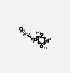 O=C(NCCCCCCNc1c(F)c(F)c(-c2c3nc(c(-c4cccc(O)c4)c4ccc([nH]4)c(-c4cccc(O)c4)c4nc(c(-c5cccc(O)c5)c5ccc2[nH]5)C=C4)C=C3)c(F)c1F)OC[C@H]1[C@@H]2CCC#CCC[C@@H]21